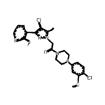 COc1cc(N2CCN(C(=O)Cn3nc(-c4cccnc4F)c(Cl)c3C)CC2)ccc1Cl